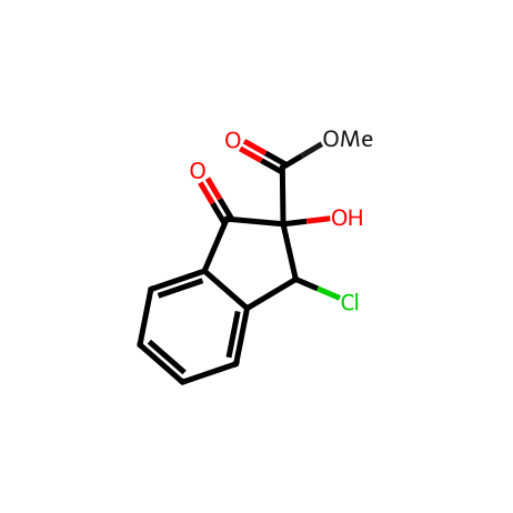 COC(=O)C1(O)C(=O)c2ccccc2C1Cl